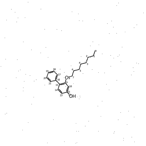 CCCCCCCCOc1cc(O)ccc1-c1ccccc1